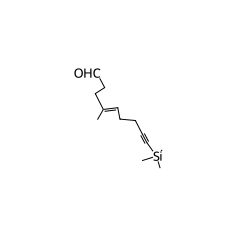 CC(=CCCC#C[Si](C)(C)C)CCC=O